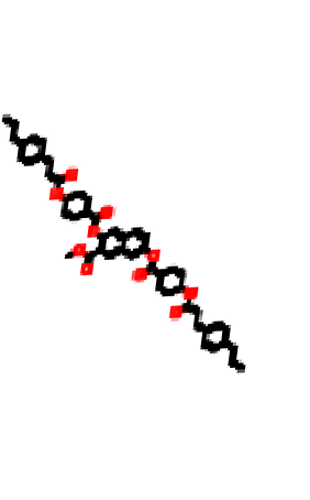 CCCc1ccc(CCC(=O)OC2CCC(C(=O)Oc3ccc4cc(OC(=O)C5CCC(OC(=O)CCc6ccc(CCC)cc6)CC5)c(C(=O)OC)cc4c3)CC2)cc1